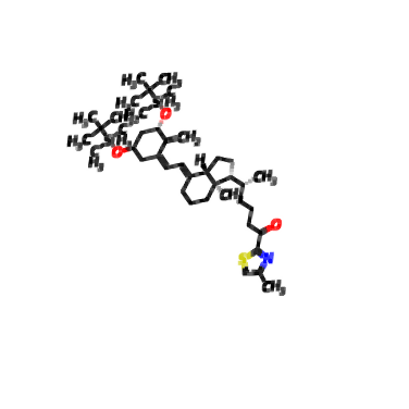 C=C1/C(=C\C=C2/CCC[C@]3(C)[C@@H]([C@H](C)CCCC(=O)c4nc(C)cs4)CC[C@@H]23)C[C@@H](O[Si](C)(C)C(C)(C)C)C[C@@H]1O[Si](C)(C)C(C)(C)C